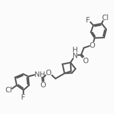 O=C(COc1ccc(Cl)c(F)c1)NC12CCC(COC(=O)Nc3ccc(Cl)c(F)c3)(C1)C2